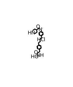 CN(C(=O)C1CCNCC1)c1ccc(CCCCc2ccc(CC(=O)NO)cc2)cc1.Cl